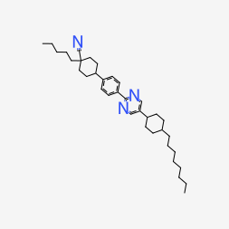 CCCCCCCCC1CCC(c2cnc(-c3ccc(C4CCC(C#N)(CCCCC)CC4)cc3)nc2)CC1